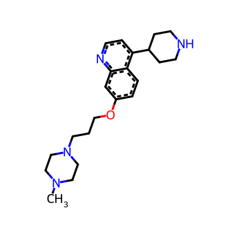 CN1CCN(CCCOc2ccc3c(C4CCNCC4)ccnc3c2)CC1